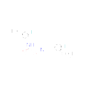 O=C(O)c1cc(C2CCN(C3CC[C@@](C(=O)NCc4cc(F)cc(C(F)(F)F)c4)(C4CC4)OC3)CC2)ccc1F